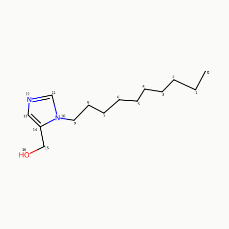 CCCCCCCCCCn1cncc1CO